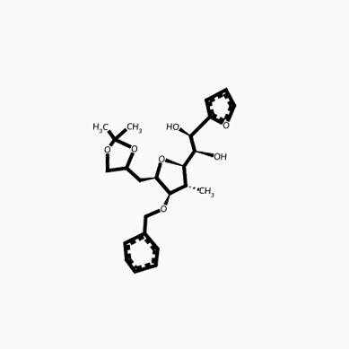 C[C@H]1[C@H]([C@H](O)[C@@H](O)c2ccco2)O[C@H](CC2COC(C)(C)O2)[C@@H]1OCc1ccccc1